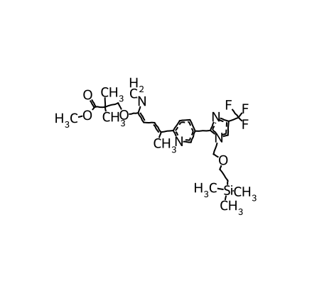 C=N/C(=C\C=C(/C)c1ccc(-c2nc(C(F)(F)F)cn2COCC[Si](C)(C)C)cn1)OCC(C)(C)C(=O)OC